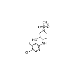 CS(=O)(=O)N1CCC(Nc2cc(I)c(Cl)cn2)C(O)C1